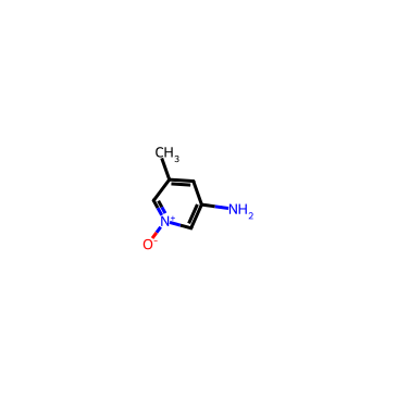 Cc1cc(N)c[n+]([O-])c1